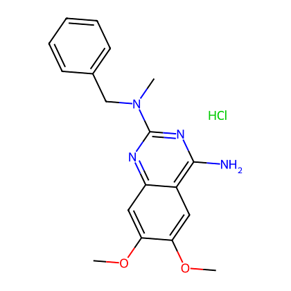 COc1cc2nc(N(C)Cc3ccccc3)nc(N)c2cc1OC.Cl